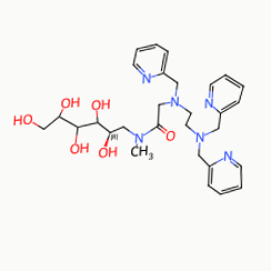 CN(C[C@@H](O)C(O)C(O)C(O)CO)C(=O)CN(CCN(Cc1ccccn1)Cc1ccccn1)Cc1ccccn1